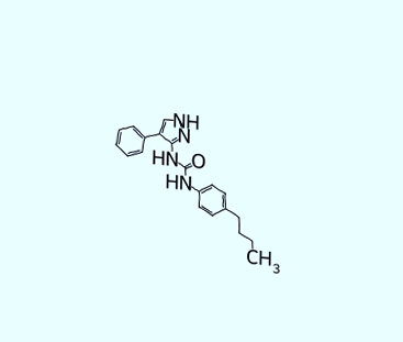 CCCCc1ccc(NC(=O)Nc2n[nH]cc2-c2ccccc2)cc1